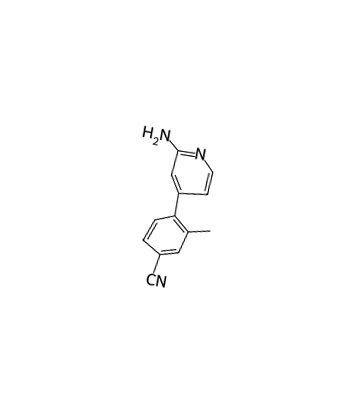 Cc1cc(C#N)ccc1-c1ccnc(N)c1